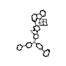 c1ccc(-c2ccc(N(c3ccc(-c4ccccc4)cc3)c3ccc4c(c3)sc3cc(-c5cccc6c5C5(c7ccccc7-6)C6CC7CC8CC5C78C6)ccc34)cc2)cc1